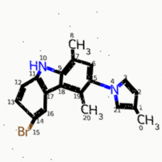 Cc1ccn(-c2cc(C)c3[nH]c4ccc(Br)cc4c3c2C)c1